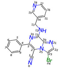 N#Cc1c(-c2ccccc2)nc(NCc2cccnc2)c2ncc(Br)n12